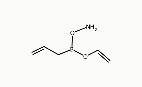 C=CCB(ON)OC=C